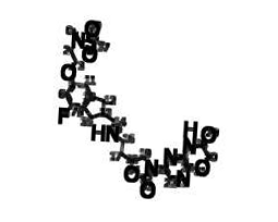 CN(CCOc1cc(F)c2c(c1)CC(CNCCC1CN(c3cnc4c(n3)NC(=O)CO4)C(=O)O1)C2)S(C)(=O)=O